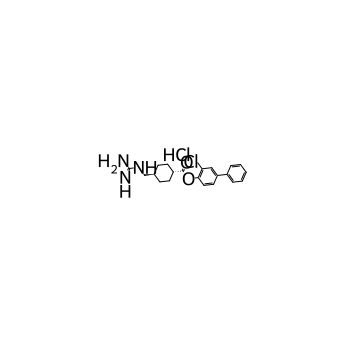 Cl.N=C(N)NC[C@H]1CC[C@H](C(=O)Oc2ccc(-c3ccccc3)cc2Cl)CC1